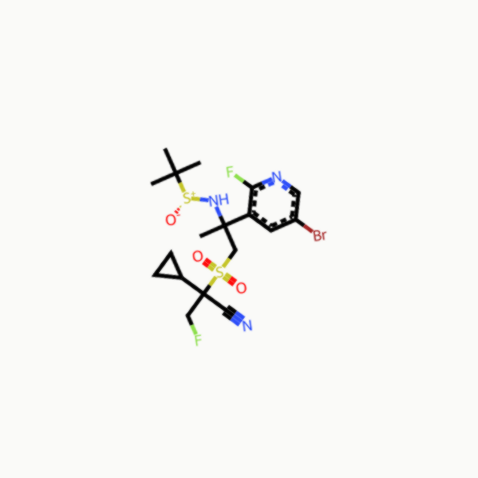 CC(CS(=O)(=O)C(C#N)(CF)C1CC1)(N[S@+]([O-])C(C)(C)C)c1cc(Br)cnc1F